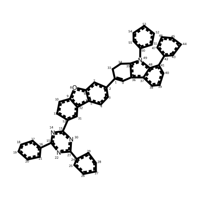 C1=C(c2ccc3c(c2)oc2ccc(-c4nc(-c5ccccc5)nc(-c5ccccc5)n4)cc23)CCc2c1c1cccc(-c3ccccc3)c1n2-c1ccccc1